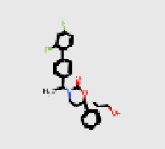 CC(c1ccc(-c2ccc(F)cc2F)cc1)N1CC[C@](CCCO)(c2ccccc2)OC1=O